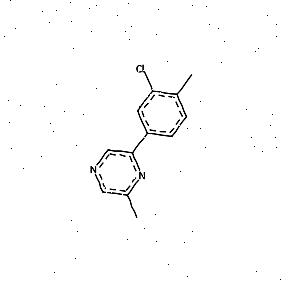 Cc1cncc(-c2ccc(C)c(Cl)c2)n1